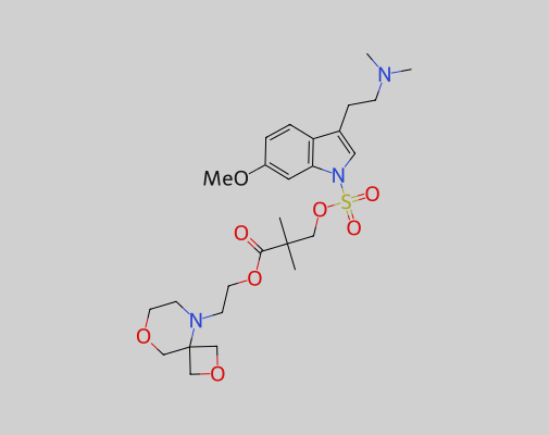 COc1ccc2c(CCN(C)C)cn(S(=O)(=O)OCC(C)(C)C(=O)OCCN3CCOCC34COC4)c2c1